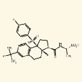 C[C@H](NC(=O)[C@@H]1CC[C@@]2(S(=O)(=O)c3ccc(F)cc3)c3ccc(C(C)(F)C(F)(F)F)cc3CC[C@@H]12)C(=O)O